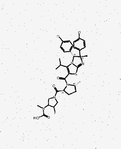 CC(C)C1=C(C(=O)N2[C@H](C)CC[C@H]2C(=O)N2CC(F)C(N(C)C(=O)O)C2)SC2=N[C@@](C)(c3ccc(Cl)cc3)[C@@H](c3ccc(Cl)cc3)N21